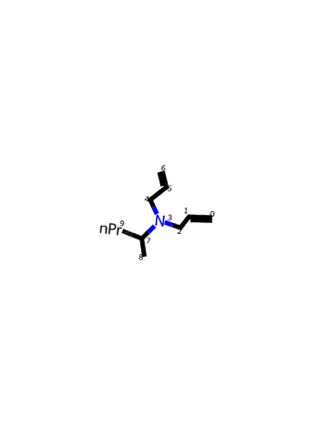 C=CCN(CC=C)C(C)CCC